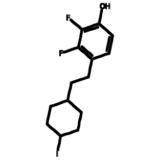 Oc1ccc(CCC2CCC(I)CC2)c(F)c1F